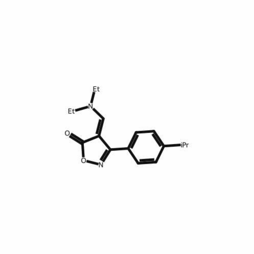 CCN(C=C1C(=O)ON=C1c1ccc(C(C)C)cc1)CC